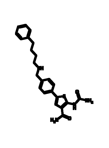 NC(=O)Nc1sc(-c2ccc(CNCCCCc3ccccc3)cc2)cc1C(N)=O